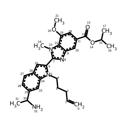 C=CCCCn1c(-c2nc3cc(C(=O)OC(C)C)cc(OC)c3n2C)cc2ccc(C(C)N)cc21